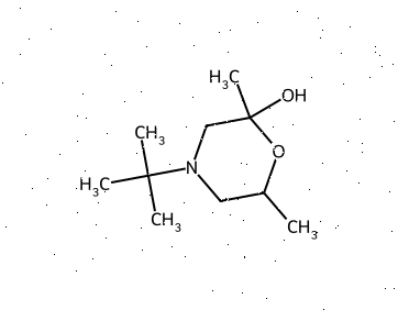 CC1CN(C(C)(C)C)CC(C)(O)O1